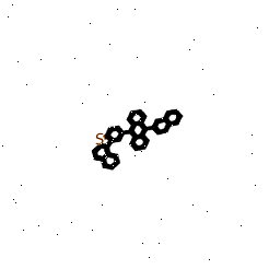 c1ccc2cc(-c3c4ccccc4c(-c4ccc5sc6ccc7ccccc7c6c5c4)c4ccccc34)ccc2c1